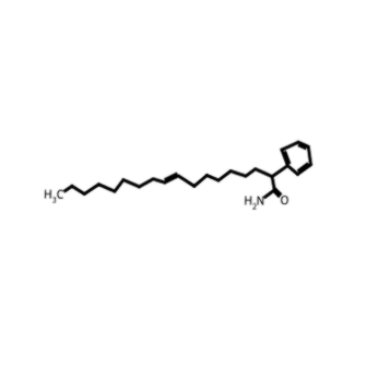 CCCCCCCCC=CCCCCCCC(C(N)=O)c1ccccc1